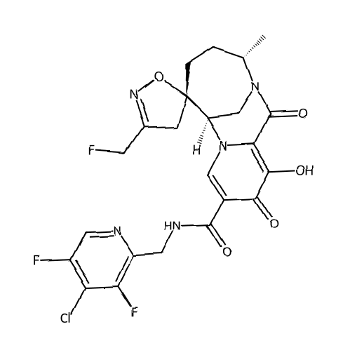 C[C@H]1CC[C@]2(CC(CF)=NO2)[C@H]2CN1C(=O)c1c(O)c(=O)c(C(=O)NCc3ncc(F)c(Cl)c3F)cn12